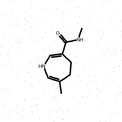 CNC(=O)C1=CNC=C(C)CC1